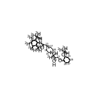 [2H]c1c([2H])c(C([2H])([2H])[2H])c(NC(=O)CN2CCN(C([2H])([2H])C(O)COc3ccccc3OC([2H])([2H])[2H])CC2)c(C([2H])([2H])[2H])c1[2H]